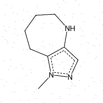 Cn1ncc2c1CCCCN2